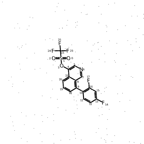 O=S(=O)(Oc1cncc2c(-c3ccc(F)cc3F)cccc12)C(F)(F)F